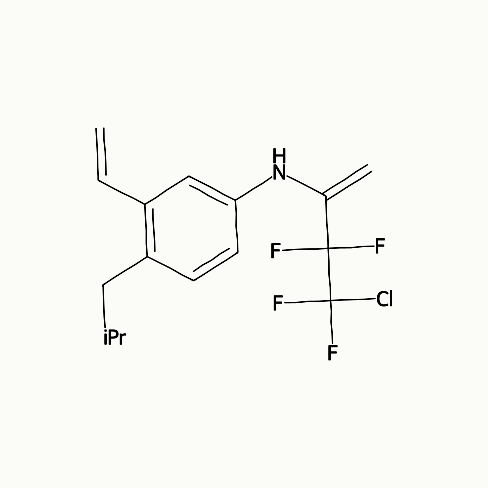 C=Cc1cc(NC(=C)C(F)(F)C(F)(F)Cl)ccc1CC(C)C